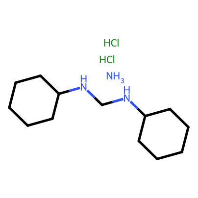 C1CCC(NCNC2CCCCC2)CC1.Cl.Cl.N